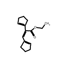 CCOC(=O)C(=CC1=CCCC1)C1=CCCC1